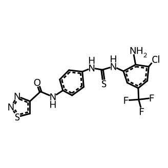 Nc1c(Cl)cc(C(F)(F)F)cc1NC(=S)Nc1ccc(NC(=O)c2csnn2)cc1